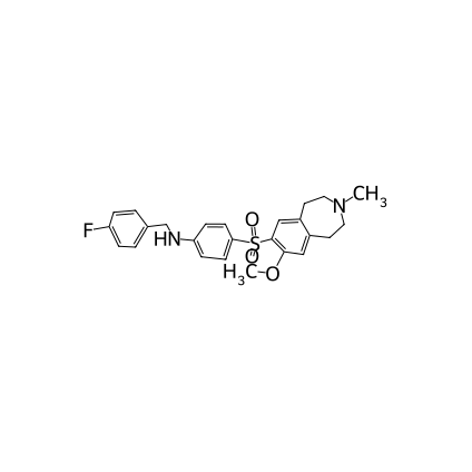 COc1cc2c(cc1S(=O)(=O)c1ccc(NCc3ccc(F)cc3)cc1)CCN(C)CC2